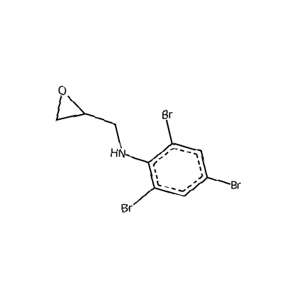 Brc1cc(Br)c(NCC2CO2)c(Br)c1